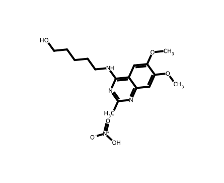 COc1cc2nc(C)nc(NCCCCCO)c2cc1OC.O=[N+]([O-])O